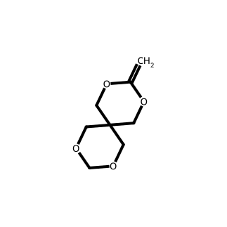 C=C1OCC2(COCOC2)CO1